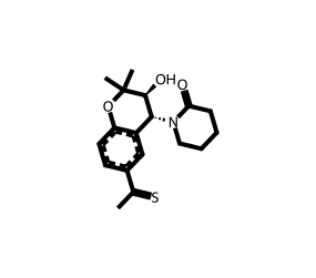 CC(=S)c1ccc2c(c1)[C@@H](N1CCCCC1=O)[C@H](O)C(C)(C)O2